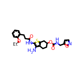 CCOc1ccccc1CCC(=O)Nc1sc2c(c1N)CCC(OC(=O)NCc1ccno1)C2